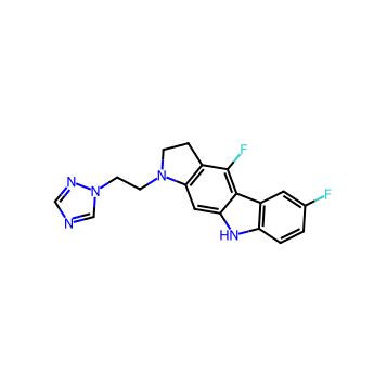 Fc1ccc2[nH]c3cc4c(c(F)c3c2c1)CCN4CCn1cncn1